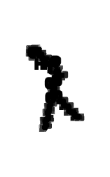 [CH2]C(COC(=O)CCC(OCCCCCCCC)OCCCCCCCC)COC(=O)NCCCN1CCCC1